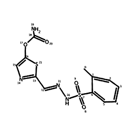 Cc1ccccc1S(=O)(=O)NN=Cc1ncc(OC(N)=O)s1